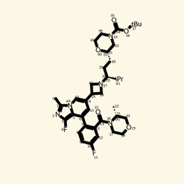 Cc1nc(F)c2c(-c3ccc(F)cc3C(=O)N3CCOC[C@H]3C)cc(C3CN([C@@H](CC[C@H]4CN(C(=O)OC(C)(C)C)CCO4)C(C)C)C3)cn12